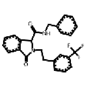 O=C(NCc1ccccc1)C1c2ccccc2C(=O)N1CCc1cccc(C(F)(F)F)c1